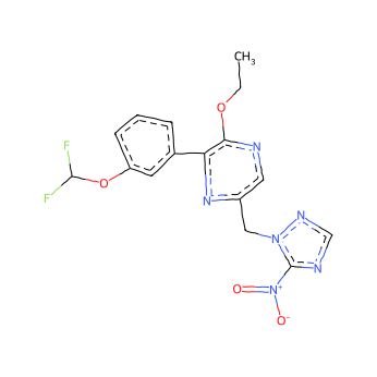 CCOc1ncc(Cn2ncnc2[N+](=O)[O-])nc1-c1cccc(OC(F)F)c1